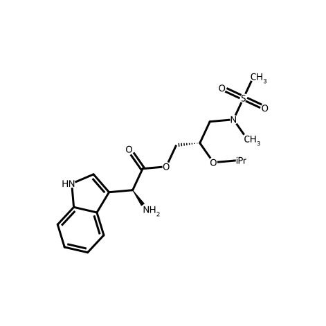 CC(C)O[C@H](COC(=O)[C@@H](N)c1c[nH]c2ccccc12)CN(C)S(C)(=O)=O